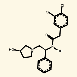 O=C(Cc1ccc(Cl)c(Cl)c1)N(O)[C@H](CN1CC[C@@H](O)C1)c1ccccc1